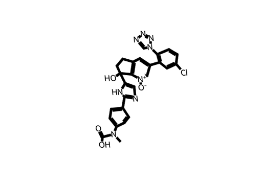 CN(C(=O)O)c1ccc(-c2ncc(C3(O)CCc4cc(-c5cc(Cl)ccc5-n5cnnn5)c[n+]([O-])c43)[nH]2)cc1